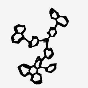 c1ccc(-c2c(-c3cccc(N(c4ccc(-c5cccc6ccccc56)cc4)c4ccc(-c5cccc6ccccc56)cc4)c3)oc3c4ccccc4c4ccccc4c23)cc1